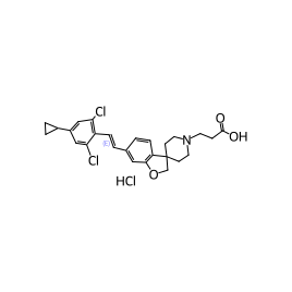 Cl.O=C(O)CCN1CCC2(CC1)COc1cc(/C=C/c3c(Cl)cc(C4CC4)cc3Cl)ccc12